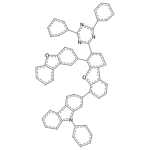 c1ccc(-c2nc(-c3ccccc3)nc(-c3ccc4c(oc5c(-c6ccc7c8ccccc8n(-c8ccccc8)c7c6)cccc54)c3-c3ccc4oc5ccccc5c4c3)n2)cc1